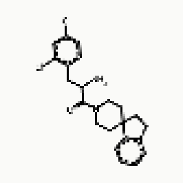 NC(Cc1ccc(Cl)cc1Cl)C(=O)N1CCC2(CCc3ccccc32)CC1